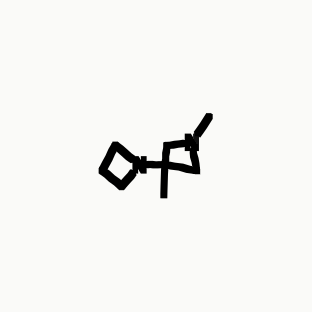 CN1CC(C)(N2CCC2)C1